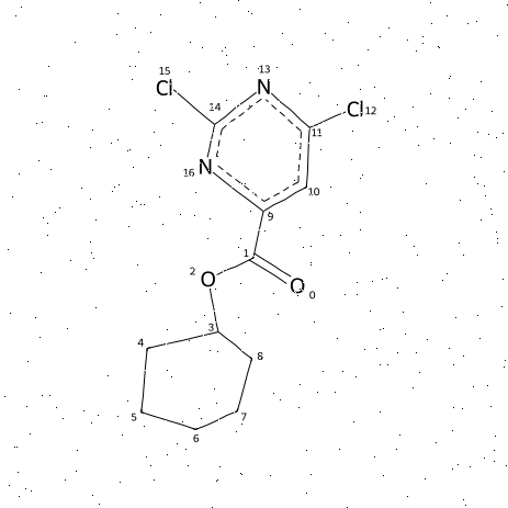 O=C(OC1CCCCC1)c1cc(Cl)nc(Cl)n1